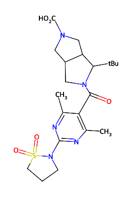 Cc1nc(N2CCCS2(=O)=O)nc(C)c1C(=O)N1CC2CN(C(=O)O)CC2C1C(C)(C)C